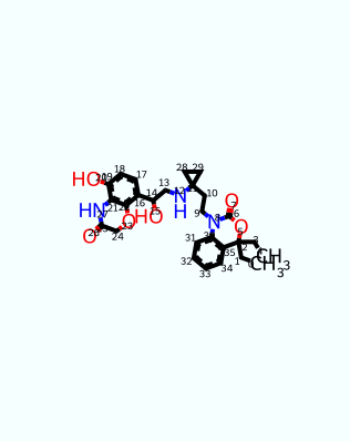 CCC1(CC)OC(=O)N(CCC2(NCC(O)c3ccc(O)c4c3OCC(=O)N4)CC2)c2ccccc21